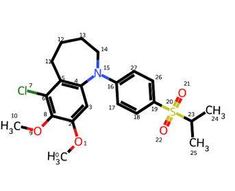 COc1cc2c(c(Cl)c1OC)CCCCN2c1ccc(S(=O)(=O)C(C)C)cc1